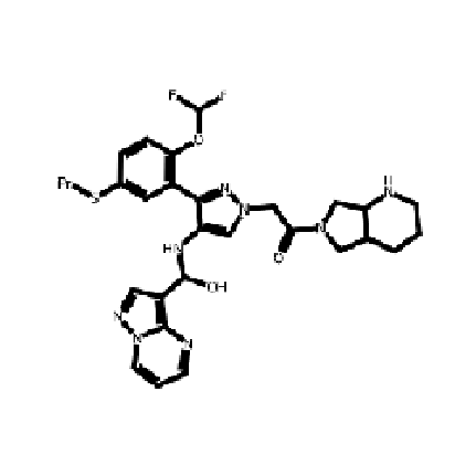 CC(C)Sc1ccc(OC(F)F)c(-c2nn(CC(=O)N3CC4CCCNC4C3)cc2NC(O)c2cnn3cccnc23)c1